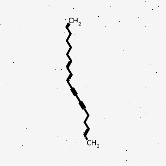 C=CCCCC/C=C/C=C/C#CC#CCC/C=C/C